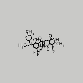 CCN(c1cc(C(F)(F)F)cc(C(=O)NCc2c(C(C)C)c(F)c(C)[nH]c2=O)c1C)C1CCN(C)CC1